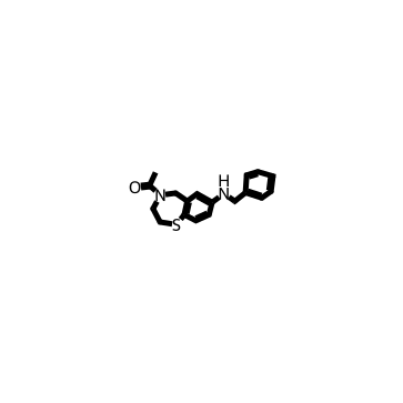 CC(=O)N1CCSc2ccc(NCc3ccccc3)cc2C1